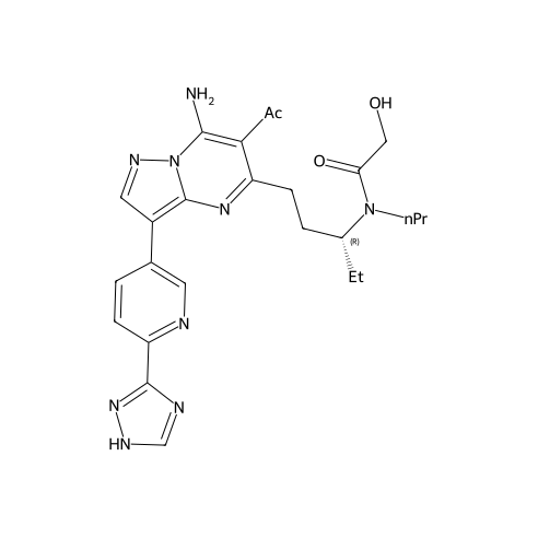 CCCN(C(=O)CO)[C@H](CC)CCc1nc2c(-c3ccc(-c4nc[nH]n4)nc3)cnn2c(N)c1C(C)=O